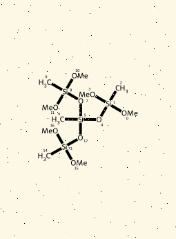 CO[Si](C)(OC)O[Si](C)(O[Si](C)(OC)OC)O[Si](C)(OC)OC